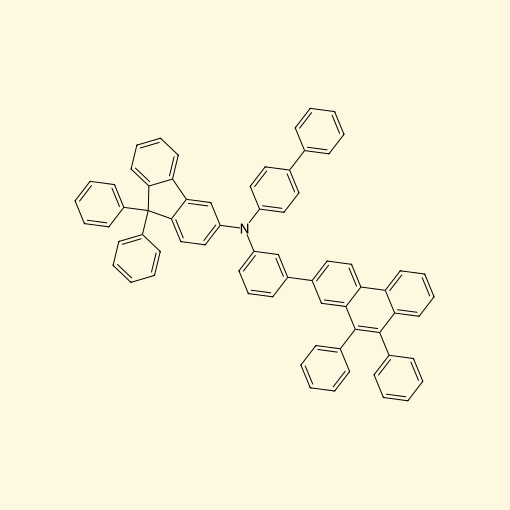 c1ccc(-c2ccc(N(c3cccc(-c4ccc5c(c4)c(-c4ccccc4)c(-c4ccccc4)c4ccccc45)c3)c3ccc4c(c3)-c3ccccc3C4(c3ccccc3)c3ccccc3)cc2)cc1